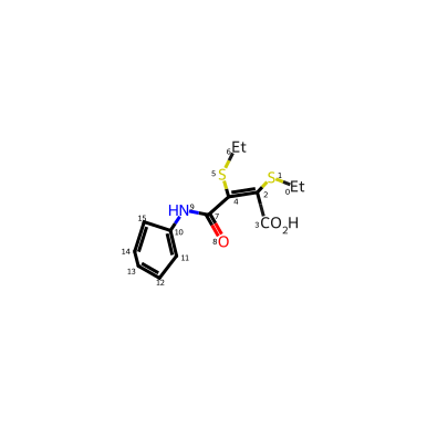 CCS/C(C(=O)O)=C(\SCC)C(=O)Nc1ccccc1